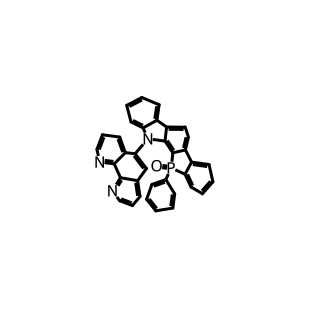 O=P1(c2ccccc2)c2ccccc2-c2ccc3c4ccccc4n(-c4cc5cccnc5c5ncccc45)c3c21